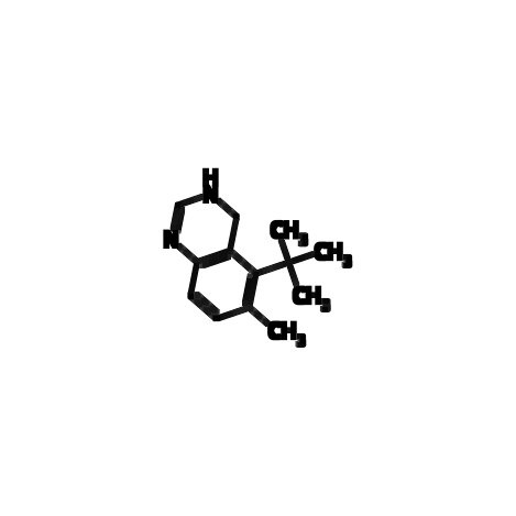 Cc1ccc2c(c1C(C)(C)C)CNC=N2